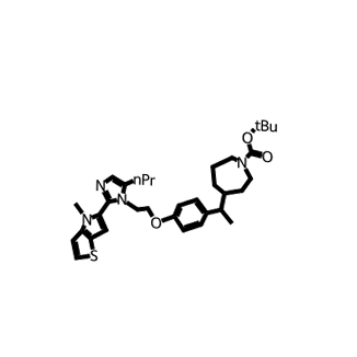 CCCc1cnc(-c2cc3sccc3n2C)n1CCOc1ccc(C(C)C2CCCN(C(=O)OC(C)(C)C)CC2)cc1